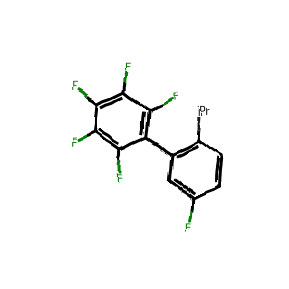 CC(C)c1ccc(F)cc1-c1c(F)c(F)c(F)c(F)c1F